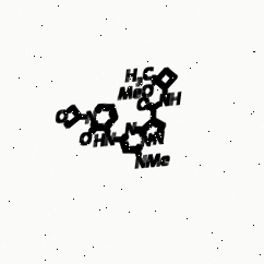 CNc1cc(Nc2cccn(C3COC3)c2=O)nc2c(C(=O)NC3CC[C@@]3(C)OC)cnn12